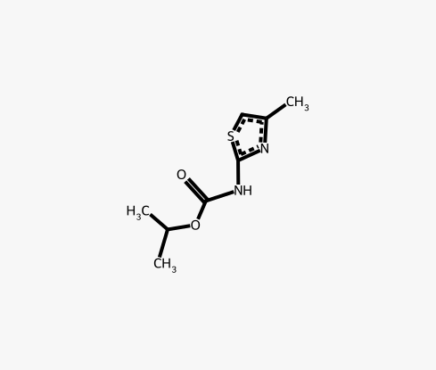 Cc1csc(NC(=O)OC(C)C)n1